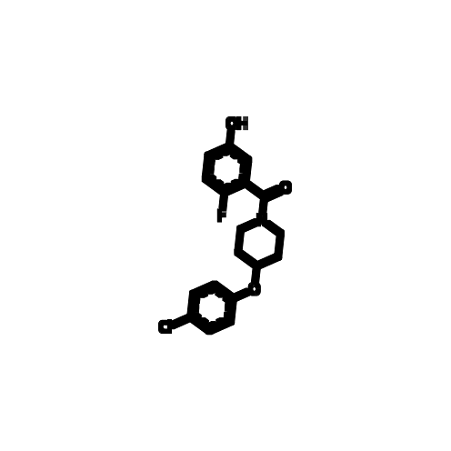 O=C(c1cc(O)ccc1F)N1CCC(Oc2ccc(Cl)cc2)CC1